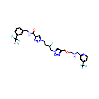 CC(F)(F)c1cccc(CNC(=O)c2cn(CCC(F)Cn3cc(COCNCc4cc(C(F)(F)F)ccn4)nn3)nn2)c1